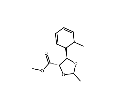 COC(=O)[C@H]1OC(C)O[C@@H]1C1C=CC=CC1C